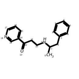 CC(Cc1ccccc1)NCCC(=O)c1cccnc1